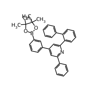 CC1(C)OB(c2cccc(-c3cc(-c4ccccc4)nc(-c4ccccc4-c4ccccc4)c3)c2)OC1(C)C